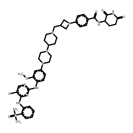 COc1cc(N2CCN(C3CCN(CC4CN(c5ccc(C(=O)NC6CCC(=O)NC6=O)cc5)C4)CC3)CC2)ccc1Nc1ncc(Cl)c(Nc2ccccc2P(C)(C)=O)n1